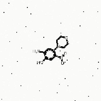 Nc1cc(N2CCOCC2)c([N+](=O)[O-])cc1O